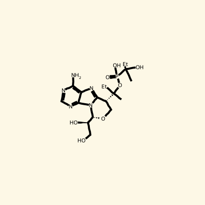 CCC(C)(OP(=O)(O)[C@@](C)(O)CC)[C@@H]1CO[C@H]([C@H](O)CO)n2c1nc1c(N)ncnc12